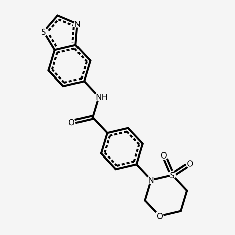 O=C(Nc1ccc2scnc2c1)c1ccc(N2COCCS2(=O)=O)cc1